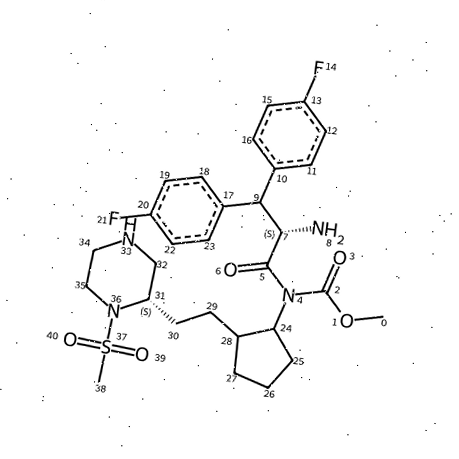 COC(=O)N(C(=O)[C@@H](N)C(c1ccc(F)cc1)c1ccc(F)cc1)C1CCCC1CC[C@H]1CNCCN1S(C)(=O)=O